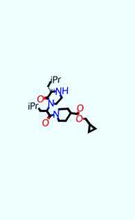 CC(C)CC(C(=O)N1CCC(C(=O)OCC2CC2)CC1)N1CCN[C@@H](CC(C)C)C1=O